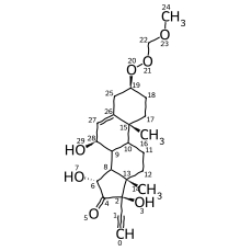 C#C[C@]1(O)C(=O)[C@H](O)C2C3C(CC[C@@]21C)[C@@]1(C)CC[C@H](OOCOC)CC1=C[C@@H]3O